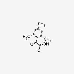 Cc1cc(C)c(C(=O)P(O)O)c(C)c1